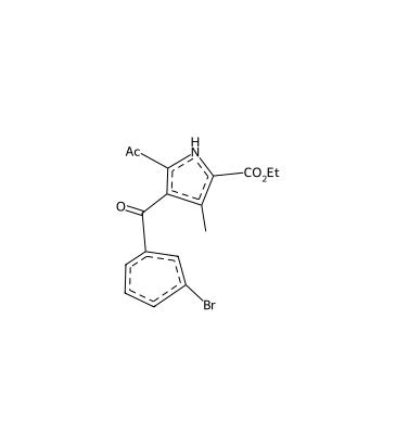 CCOC(=O)c1[nH]c(C(C)=O)c(C(=O)c2cccc(Br)c2)c1C